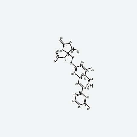 C=C(C)CC1(CCC(=N/C/C=C/c2cccc(C)c2)/N=C(/C)C(F)C=N)CC(=C)CN1C